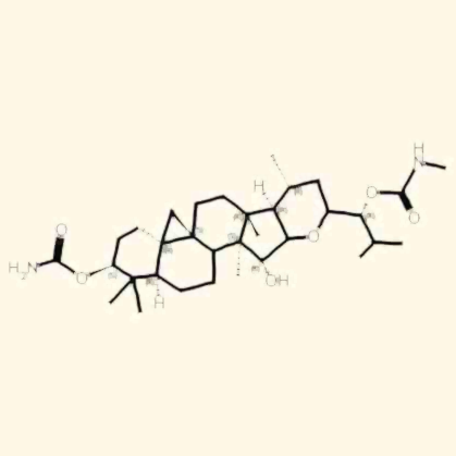 CNC(=O)O[C@H](C(C)C)C1C[C@@H](C)[C@H]2C(O1)[C@H](O)[C@@]1(C)C3CC[C@H]4C(C)(C)[C@@H](OC(N)=O)CC[C@@]45C[C@@]35CC[C@]21C